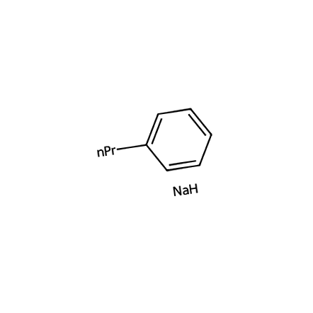 CCCc1ccccc1.[NaH]